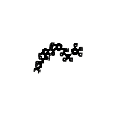 O=C(C[S+]([O-])CC(F)(F)F)Nc1c(F)ccc(NC(=O)c2cc(NC(=O)[C@H]3[C@H](c4cc(Cl)c(Cl)c(Cl)c4)C3(Cl)Cl)ccc2Cl)c1F